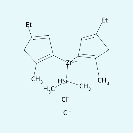 CCC1=C[C]([Zr+2]([C]2=C(C)CC(CC)=C2)[SiH](C)C)=C(C)C1.[Cl-].[Cl-]